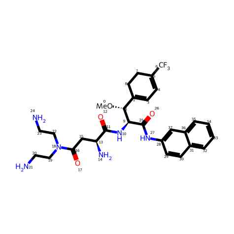 CO[C@H](C1=CC=C(C(F)(F)F)CC1)[C@H](NC(=O)[C@@H](N)CC(=O)N(CCN)CCN)C(=O)Nc1ccc2ccccc2c1